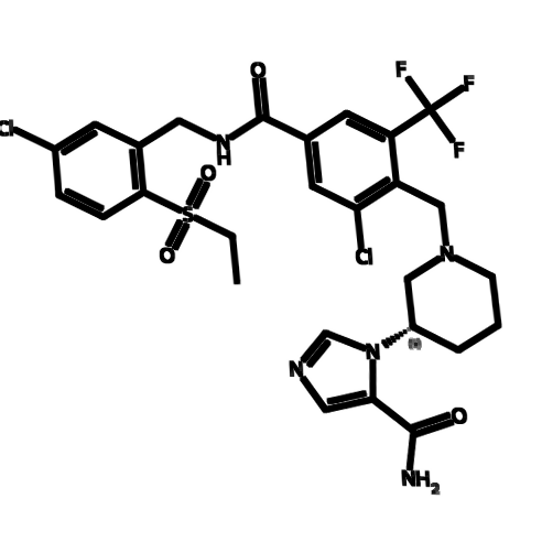 CCS(=O)(=O)c1ccc(Cl)cc1CNC(=O)c1cc(Cl)c(CN2CCC[C@H](n3cncc3C(N)=O)C2)c(C(F)(F)F)c1